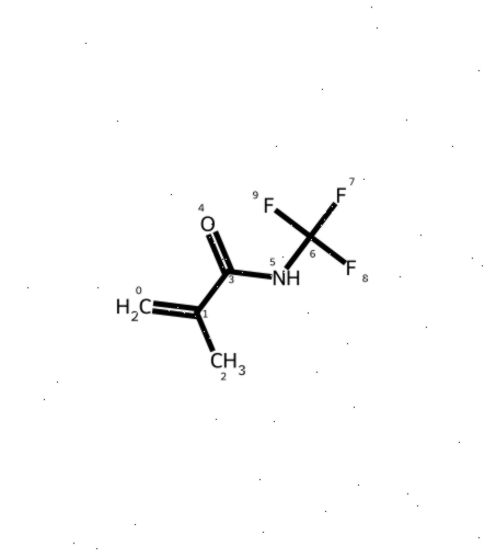 C=C(C)C(=O)NC(F)(F)F